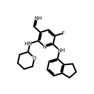 N=Cc1cc(F)c(Nc2cccc3c2CCC3)nc1NC1CCCCO1